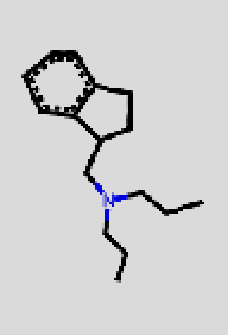 CCCN(CCC)CC1CCc2ccccc21